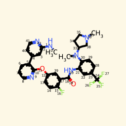 CNc1cc(-c2cccnc2Oc2ccc(F)c(C(=O)Nc3cc(C(F)(F)F)ccc3N(C)C3CCN(C)C3)c2)ccn1